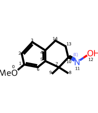 COc1ccc2c(c1)C(C)(C)/C(=N/O)CC2